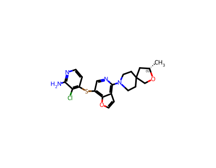 C[C@H]1CC2(CCN(c3ncc(Sc4ccnc(N)c4Cl)c4occc34)CC2)CO1